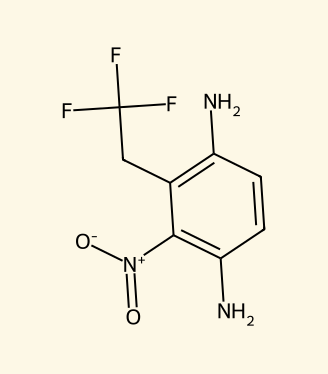 Nc1ccc(N)c([N+](=O)[O-])c1CC(F)(F)F